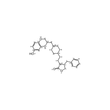 O=C1OCC(Cc2ccccc2)N1CCC1CCN(CC2COc3ccc(O)cc3O2)CC1